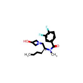 CCCC[C@@H](CN1CC(O)C1)N(C)C(=O)c1ccc(F)c(F)c1